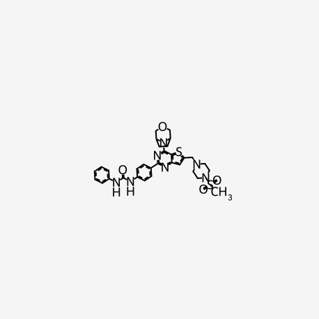 CS(=O)(=O)N1CCN(Cc2cc3nc(-c4ccc(NC(=O)Nc5ccccc5)cc4)nc(N4C5CCC4COC5)c3s2)CC1